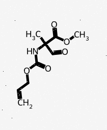 C=CCOC(=O)NC(C)(C=O)C(=O)OC